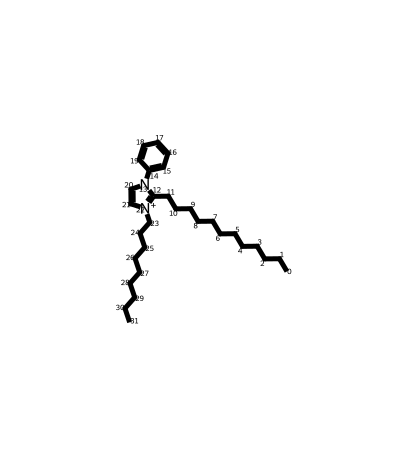 CCCCCCCCCCCCc1n(-c2ccccc2)cc[n+]1CCCCCCCCC